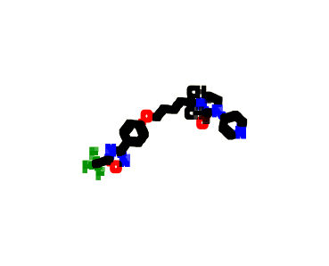 CC(C)(CCCCOc1ccc(-c2noc(C(F)(F)F)n2)cc1)N1CCN(c2ccncc2)C1=O